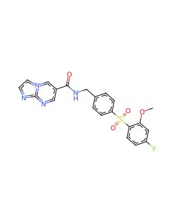 COc1cc(F)ccc1S(=O)(=O)c1ccc(CNC(=O)c2cnc3nccn3c2)cc1